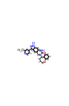 Cc1cc(-c2n[nH]c3cc4c(cc23)CN(C2CCCOc3ccccc32)C(=O)N4)ccn1